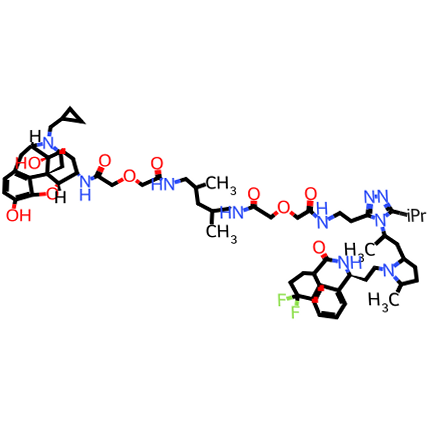 CC(CNC(=O)COCC(=O)NCCc1nnc(C(C)C)n1C(C)CC1CCC(C)N1CC[C@H](NC(=O)C1CCC(F)(F)CC1)c1ccccc1)CC(C)CNC(=O)COCC(=O)N[C@@H]1CC[C@@]2(O)[C@H]3Cc4ccc(O)c5c4[C@@]2(CCN3CC2CC2)[C@H]1O5